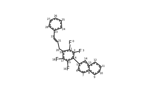 Fc1c(F)c(-c2ccc3ccccc3c2)c(F)c(F)c1C/C=C/c1ccccc1